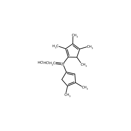 Cl.Cl.[CH2]=[Zr]([C]1=CC(C)=C(C)C1)[C]1=C(C)C(C)=C(C)C1C